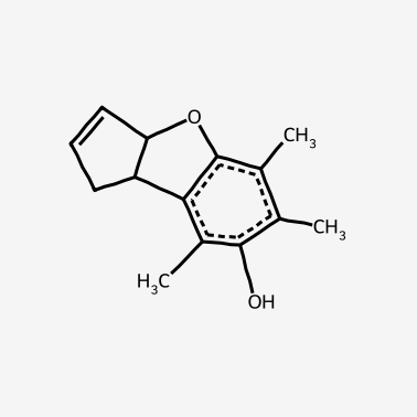 Cc1c(C)c2c(c(C)c1O)C1CC=CC1O2